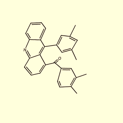 Cc1cc(C)cc(-c2c3ccccc3nc3cccc(C(=O)c4ccc(C)c(C)c4)c23)c1